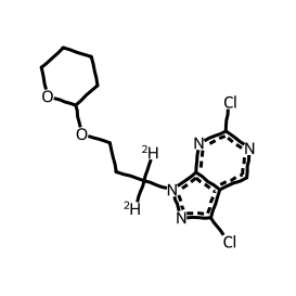 [2H]C([2H])(CCOC1CCCCO1)n1nc(Cl)c2cnc(Cl)nc21